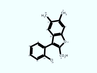 Cc1cc2oc(C(=O)O)c(-c3ccccc3Cl)c2cc1C